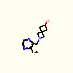 COc1nccnc1CN1CC2(CC(O)C2)C1